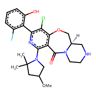 COC1CN(c2nc(-c3c(O)cccc3F)c(Cl)c3c2C(=O)N2CCNC[C@@H]2CO3)C(C)(C)C1